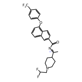 C/C(=N\C(=O)c1ccc2c(Oc3ccc(C(F)(F)F)cc3)cccc2c1)C1CCN(CC(F)F)CC1